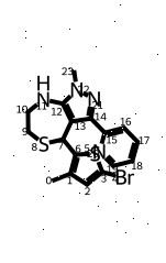 Cc1cc(Br)sc1C1SCCNc2c1c(-c1ccccn1)nn2C